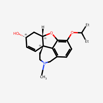 CCC(CC)Oc1ccc2c3c1O[C@H]1C[C@@H](O)C=C[C@@]31CCN(C)C2